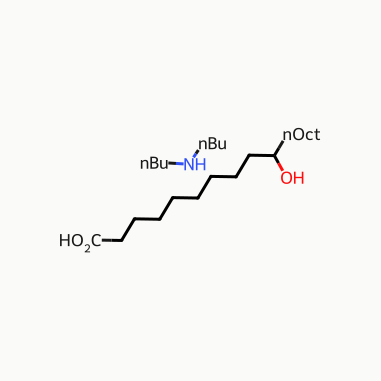 CCCCCCCCC(O)CCCCCCCCC(=O)O.CCCCNCCCC